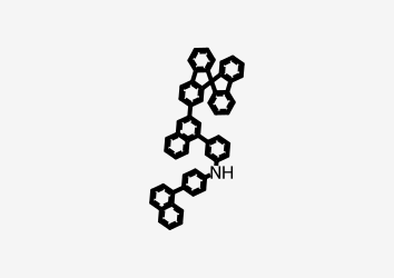 c1cc(Nc2ccc(-c3cccc4ccccc34)cc2)cc(-c2cc(-c3ccc4c(c3)C3(c5ccccc5-c5ccccc53)c3ccccc3-4)cc3ccccc23)c1